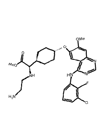 COC(=O)[C@H](NCCN)[C@H]1CC[C@H](Oc2cc3c(Nc4cccc(Cl)c4F)ncnc3cc2OC)CC1